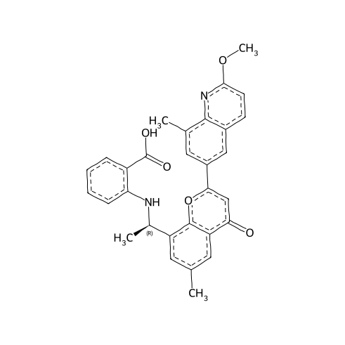 COc1ccc2cc(-c3cc(=O)c4cc(C)cc([C@@H](C)Nc5ccccc5C(=O)O)c4o3)cc(C)c2n1